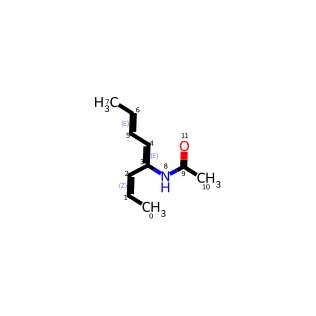 C\C=C/C(=C\C=C\C)NC(C)=O